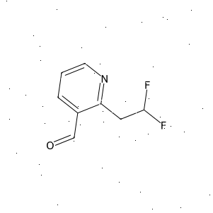 O=Cc1cccnc1CC(F)F